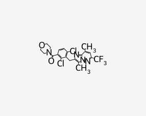 Cc1cc(C(F)(F)F)nn2c(C)c(Cc3c(Cl)ccc(C(=O)N4CCOCC4)c3Cl)nc12